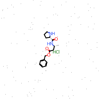 C[C@H](CC(=O)OCc1ccccc1)NC(=O)[C@@H]1CCCN1.Cl